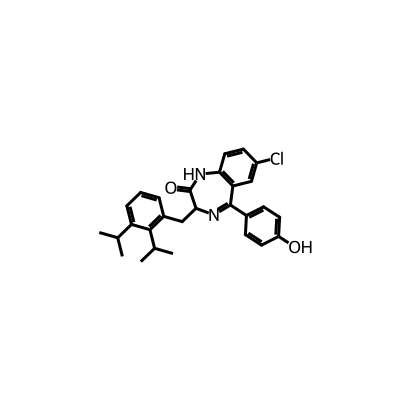 CC(C)c1cccc(CC2N=C(c3ccc(O)cc3)c3cc(Cl)ccc3NC2=O)c1C(C)C